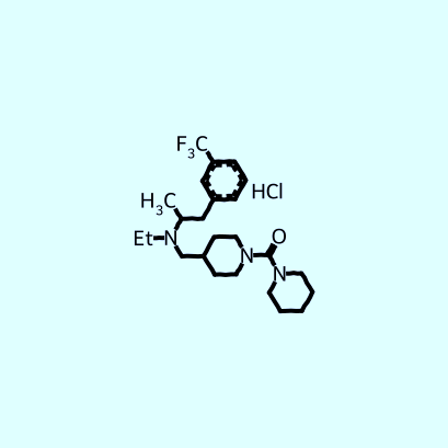 CCN(CC1CCN(C(=O)N2CCCCC2)CC1)C(C)Cc1cccc(C(F)(F)F)c1.Cl